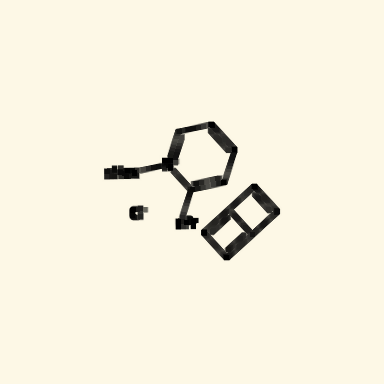 CCCCCC[n+]1ccccc1CCC.[Cl-].c1cc2ccc1-2